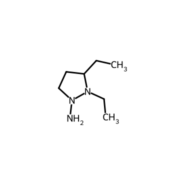 CCC1CCN(N)N1CC